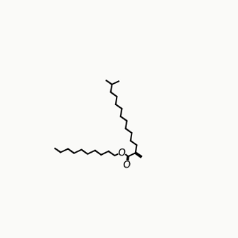 C=C(CCCCCCCCCCC(C)C)C(=O)OCCCCCCCCCC